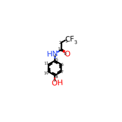 O=C(CC(F)(F)F)Nc1ccc(O)cc1